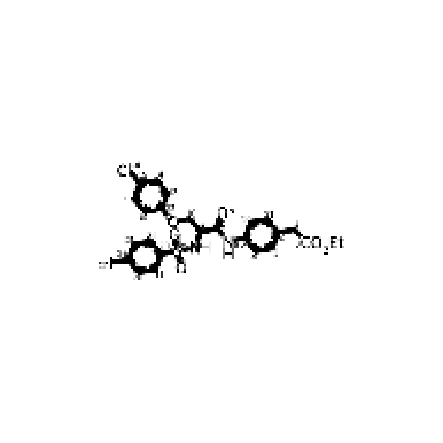 CCOC(=O)Cc1ccc(NC(=O)C(COc2ccc(Cl)cc2)NS(=O)(=O)c2ccc(I)cc2)cc1